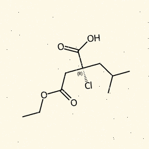 CCOC(=O)C[C@](Cl)(CC(C)C)C(=O)O